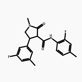 Cc1cc(F)cc(C2CN(C)C(=O)C2C(=O)Nc2ccc(C)cc2F)c1